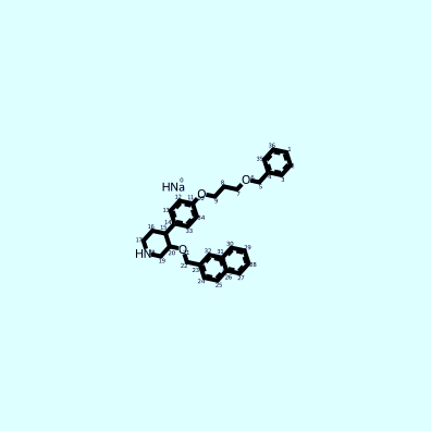 [NaH].c1ccc(COCCCOc2ccc(C3CCNCC3OCc3ccc4ccccc4c3)cc2)cc1